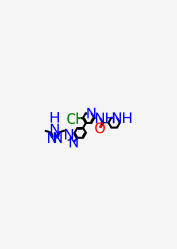 Cc1nnc(Cn2cnc3ccc(-c4cc(NC(=O)[C@@H]5CCCNC5)ncc4Cl)cc32)[nH]1